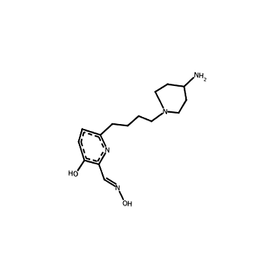 NC1CCN(CCCCc2ccc(O)c(C=NO)n2)CC1